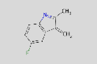 C=C1C(C)=Nc2ccc(F)cc21